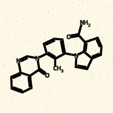 Cc1c(-n2cnc3ccccc3c2=O)cccc1-n1ccc2cccc(C(N)=O)c21